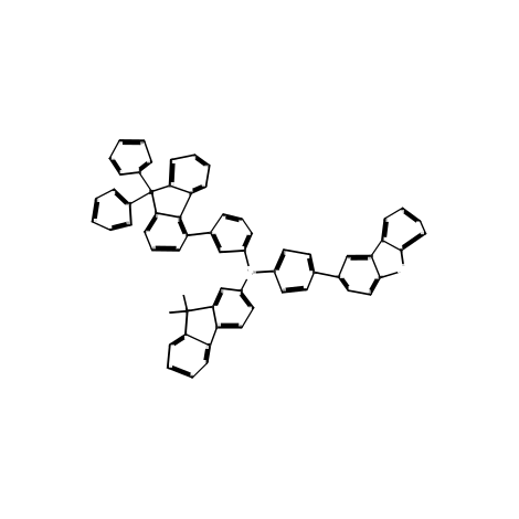 CC1(C)c2ccccc2-c2ccc(N(c3ccc(-c4ccc5oc6ccccc6c5c4)cc3)c3cccc(-c4cccc5c4-c4ccccc4C5(c4ccccc4)c4ccccc4)c3)cc21